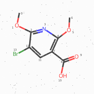 COc1nc(OC)c(C(=O)O)cc1Br